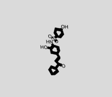 O=C(/C=C/c1ccc(NS(=O)(=O)c2ccc(O)cc2)c(O)c1)c1ccccc1